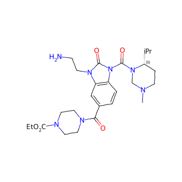 CCOC(=O)N1CCN(C(=O)c2ccc3c(c2)n(CCN)c(=O)n3C(=O)N2CN(C)CC[C@H]2C(C)C)CC1